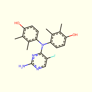 Cc1c(O)ccc(N(c2ccc(O)c(C)c2C)c2nc(N)ncc2F)c1C